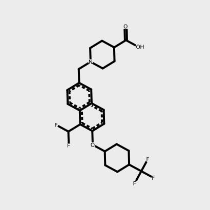 O=C(O)C1CCN(Cc2ccc3c(C(F)F)c(OC4CCC(C(F)(F)F)CC4)ccc3c2)CC1